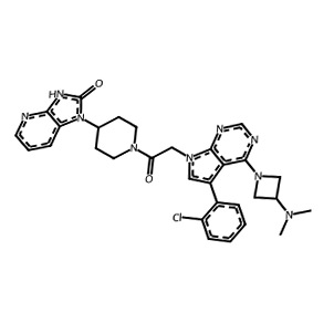 CN(C)C1CN(c2ncnc3c2c(-c2ccccc2Cl)cn3CC(=O)N2CCC(n3c(=O)[nH]c4ncccc43)CC2)C1